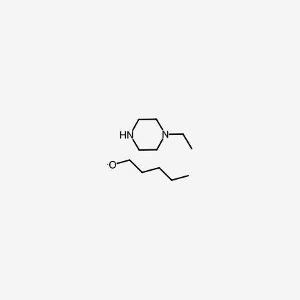 CCCCC[O].CCN1CCNCC1